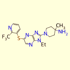 CCn1c(N2CCC(C)(N)CC2)nc2nc(Sc3cccnc3C(F)(F)F)cnc21